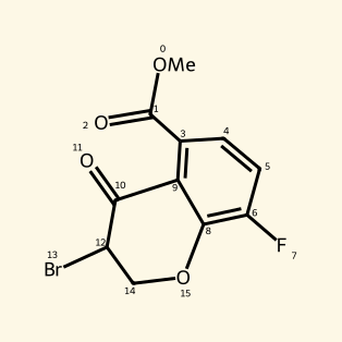 COC(=O)c1ccc(F)c2c1C(=O)C(Br)CO2